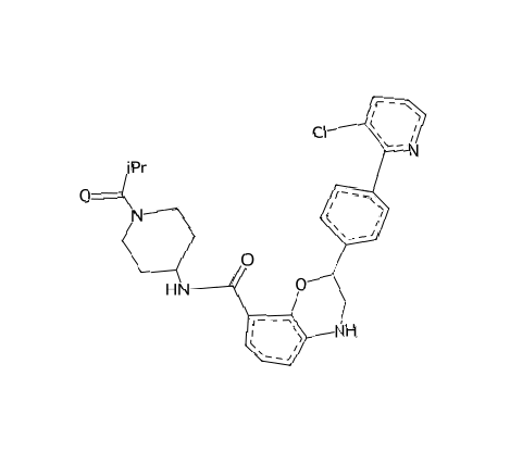 CC(C)C(=O)N1CCC(NC(=O)c2cccc3c2OC(c2ccc(-c4ncccc4Cl)cc2)CN3)CC1